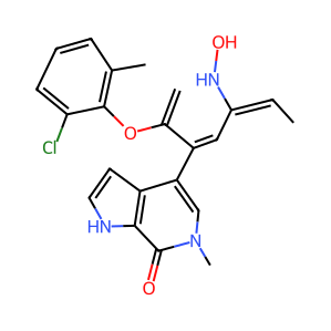 C=C(Oc1c(C)cccc1Cl)/C(=C\C(=C/C)NO)c1cn(C)c(=O)c2[nH]ccc12